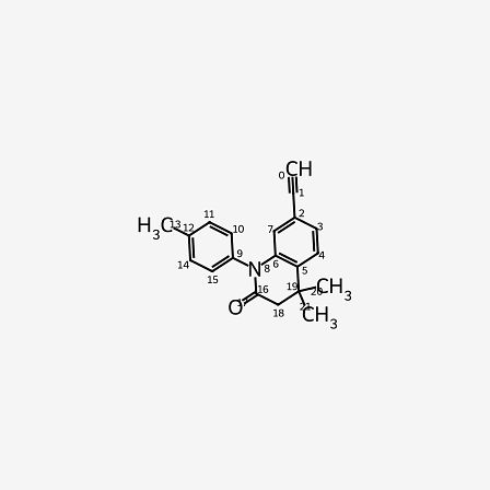 C#Cc1ccc2c(c1)N(c1ccc(C)cc1)C(=O)CC2(C)C